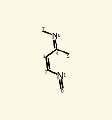 C=N/C=C\C(C)=N/C